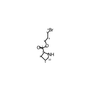 O=C(OCCCBr)C1CCCN1